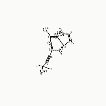 CC(C)(O)C#Cc1nc(Cl)c2[nH]cnc2n1